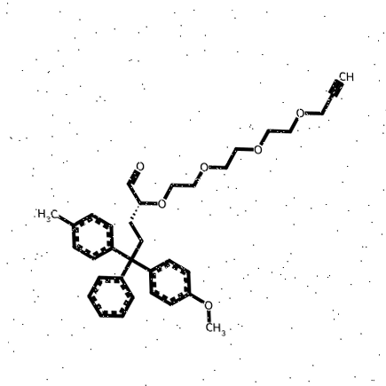 C#CCOCCOCCOCCO[C@@H](C=O)CCC(c1ccccc1)(c1ccc(C)cc1)c1ccc(OC)cc1